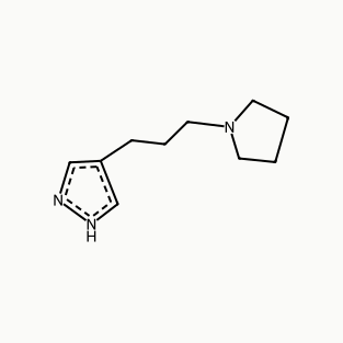 c1n[nH]cc1CCCN1CCCC1